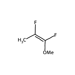 CO/C(F)=C(\C)F